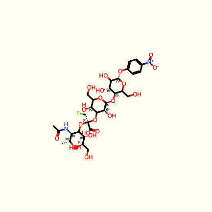 CC(=O)N[C@@H](C(O[C@@](CF)(OC1[C@@H](O)C(CO)O[C@@H](O[C@@H]2C(CO)O[C@@H](Oc3ccc([N+](=O)[O-])cc3)C(O)[C@H]2O)[C@H]1O)C(=O)O)[C@H](O)[C@H](O)CO)[C@@H](C)O